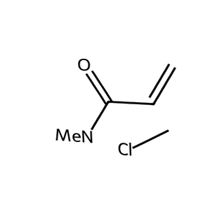 C=CC(=O)NC.CCl